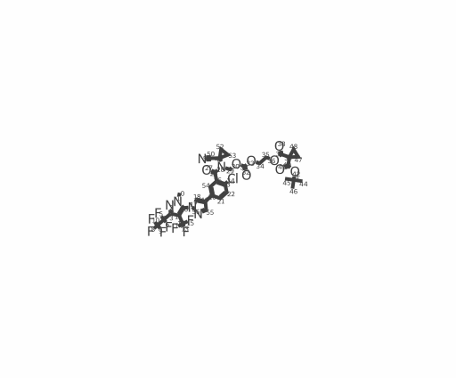 Cn1nc(C(F)(F)C(F)(F)F)c(C(F)(F)F)c1-n1cc(-c2ccc(Cl)c(C(=O)N(COC(=O)OCCOC(=O)C3(C(=O)OC(C)(C)C)CC3)C3(C#N)CC3)c2)cn1